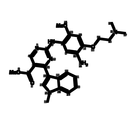 COC(=O)c1cnc(Nc2cc(N)c(OCCN(C)C)cc2OC)nc1-c1cn(C)c2ccccc12